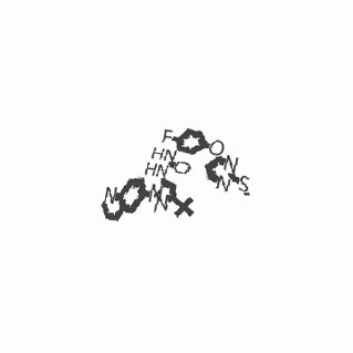 CSc1nccc(Oc2ccc(F)c(NC(=O)Nc3cc(C(C)(C)C)nn3-c3ccc4ncccc4c3)c2)n1